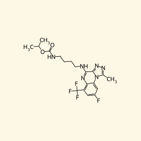 Cc1nnc2c(NCCCCNC(=O)OC(C)C)nc3c(C(F)(F)F)cc(F)cc3n12